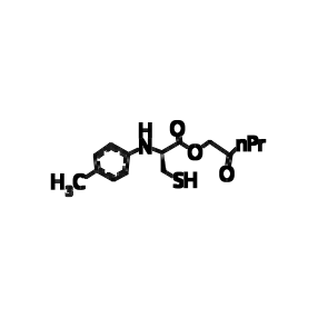 CCCC(=O)COC(=O)[C@@H](CS)Nc1ccc(C)cc1